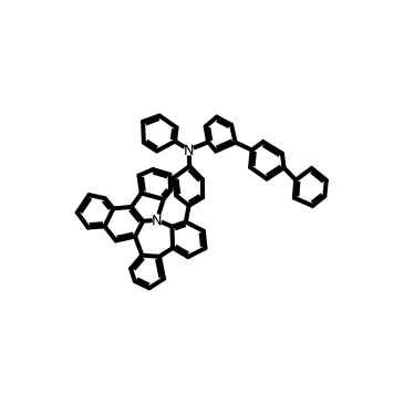 c1ccc(-c2ccc(-c3cccc(N(c4ccccc4)c4ccc(-c5cccc6c5-n5c7ccccc7c7c8ccccc8cc(c75)-c5ccccc5-6)cc4)c3)cc2)cc1